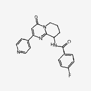 O=C(NC1CCCn2c1nc(-c1ccncc1)cc2=O)c1ccc(F)cc1